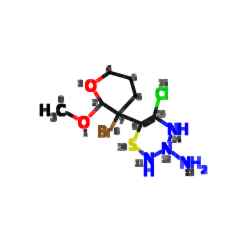 COC1OCCCC1(Br)c1s[nH]n(N)[nH]c1Cl